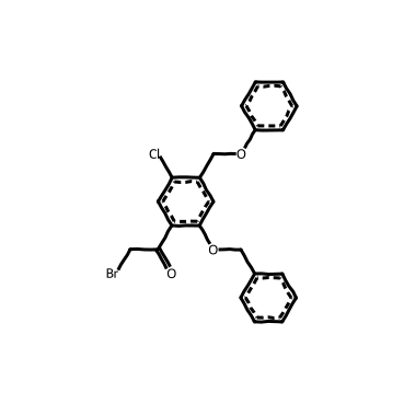 O=C(CBr)c1cc(Cl)c(COc2ccccc2)cc1OCc1ccccc1